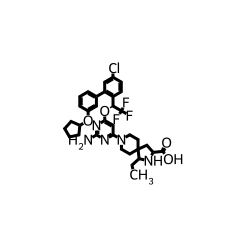 CCC1NC(C(=O)O)CC12CCN(c1cc(O[C@H](c3ccc(Cl)cc3-c3cccc(OC4CCCC4)c3)C(F)(F)F)nc(N)n1)CC2